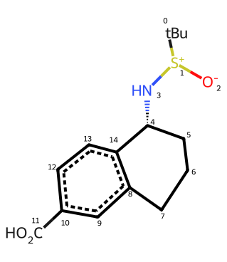 CC(C)(C)[S+]([O-])N[C@@H]1CCCc2cc(C(=O)O)ccc21